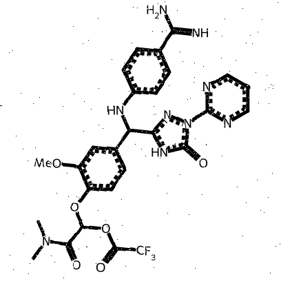 COc1cc(C(Nc2ccc(C(=N)N)cc2)c2nn(-c3ncccn3)c(=O)[nH]2)ccc1OC(OC(=O)C(F)(F)F)C(=O)N(C)C